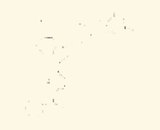 CCNc1cc2c(cn1)c(-c1ccc(C(=O)N3CCOCC3)cc1)nn2C1CCC(Oc2ccc(=O)n(C)n2)CC1